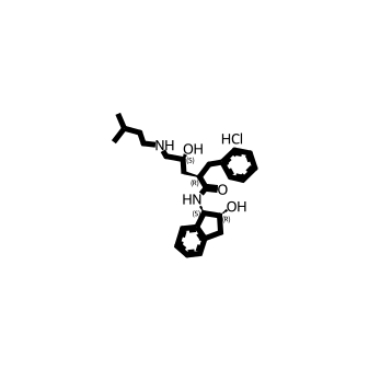 CC(C)CCNC[C@@H](O)C[C@@H](Cc1ccccc1)C(=O)N[C@H]1c2ccccc2C[C@H]1O.Cl